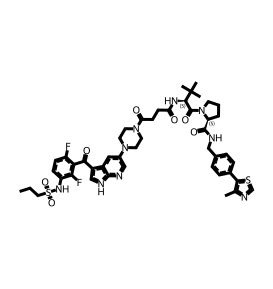 CCCS(=O)(=O)Nc1ccc(F)c(C(=O)c2c[nH]c3ncc(N4CCN(C(=O)CCC(=O)N[C@H](C(=O)N5CCC[C@H]5C(=O)NCc5ccc(-c6scnc6C)cc5)C(C)(C)C)CC4)cc23)c1F